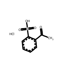 CC(=O)c1ccccc1S(=O)(=O)O.Cl